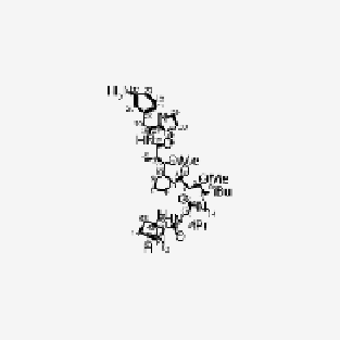 CC[C@H](C)[C@@H]([C@@H](CC(=O)N1CCC[C@H]1[C@H](OC)[C@@H](C)C(=O)N[C@@H](Cc1cccc(N)c1)c1nccs1)OC)N(C)C(=O)[C@@H](NC(=O)[C@@H]1[C@H]2CC[C@H](C2)N1C)C(C)C